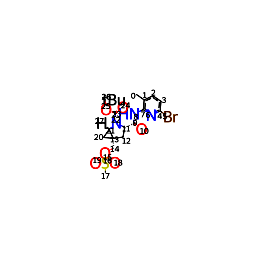 Cc1ccc(Br)nc1NC(=O)[C@@H]1C[C@@]2(COS(C)(=O)=O)C[C@@H]2N1C(=O)OC(C)(C)C